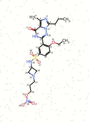 CCCc1nc(C)c2c(=O)[nH]c(-c3cc(S(=O)(=O)NC4CN(CCCO[N+](=O)[O-])C4)ccc3OCC)nn12